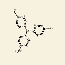 Fc1ccc([S+](c2ccc(F)cc2)c2ccc(C(F)(F)F)cc2)cc1